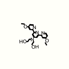 CCOc1ccnc(-c2cc(N(CCO)CCO)cc(-c3cc(OCC)ccn3)n2)c1